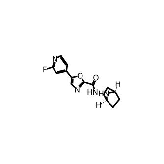 O=C(N[C@@H]1C[C@H]2CC[C@@H]1N2)c1ncc(-c2ccnc(F)c2)o1